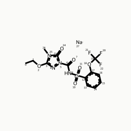 CCOc1nn(C(=O)NS(=O)(=O)c2ccccc2OC(F)(F)F)c(=O)n1C.[Na]